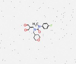 CN(C(=O)N(C=C(C=O)C=O)CC1CCOCC1)c1ccc(F)cc1